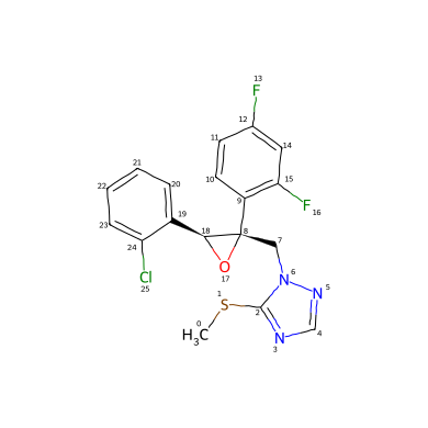 CSc1ncnn1C[C@@]1(c2ccc(F)cc2F)O[C@H]1c1ccccc1Cl